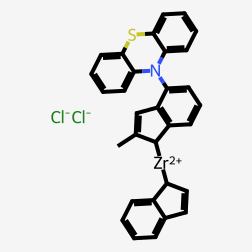 CC1=Cc2c(cccc2N2c3ccccc3Sc3ccccc32)[CH]1[Zr+2][CH]1C=Cc2ccccc21.[Cl-].[Cl-]